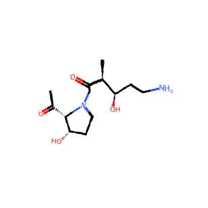 CC(=O)[C@H]1[C@@H](O)CCN1C(=O)[C@@H](C)[C@H](O)CCN